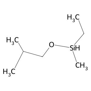 CC[SiH](C)OCC(C)C